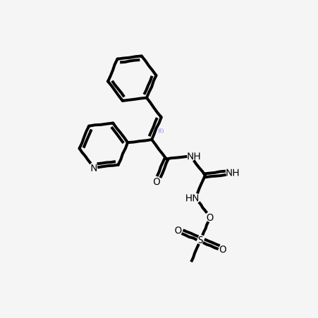 CS(=O)(=O)ONC(=N)NC(=O)/C(=C/c1ccccc1)c1cccnc1